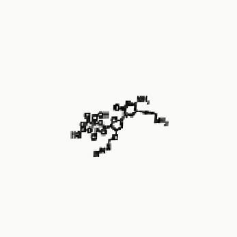 [N-]=[N+]=NCOC1CC(n2cc(C#CCN)c(N)nc2=O)OC1COP(OO)(OOO)(P(=O)=O)P(=O)=O